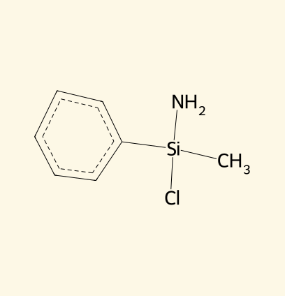 C[Si](N)(Cl)c1ccccc1